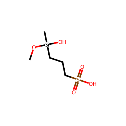 CO[Si](C)(O)CCCS(=O)(=O)O